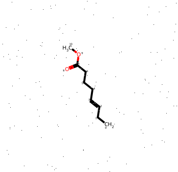 [CH2]CC=CCCCC(=O)OC